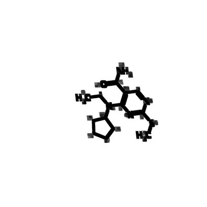 CCN(c1nc(SC)ncc1C(N)=O)C1CCCC1